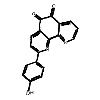 O=C1C(=O)c2ccc(-c3ccc(O)cc3)nc2-c2ncccc21